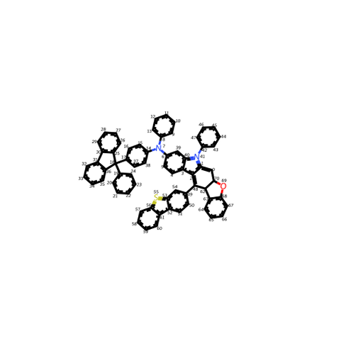 C1=c2c(c3ccc(N(c4ccccc4)c4ccc(C5(c6ccccc6)c6ccccc6-c6ccccc65)cc4)cc3n2-c2ccccc2)=C(c2ccc3c(c2)sc2ccccc23)C2c3ccccc3OC12